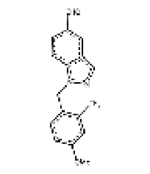 COc1ccc(Cn2ncc3cc(C=O)ccc32)c(C(F)(F)F)c1